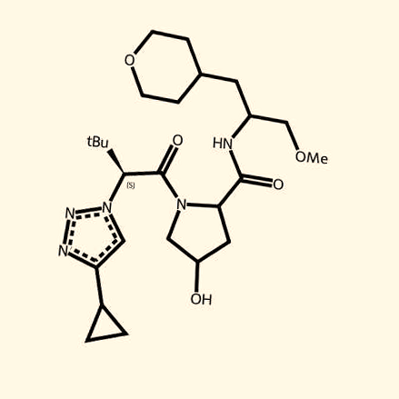 COCC(CC1CCOCC1)NC(=O)C1CC(O)CN1C(=O)[C@@H](n1cc(C2CC2)nn1)C(C)(C)C